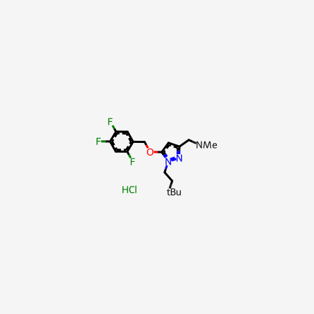 CNCc1cc(OCc2cc(F)c(F)cc2F)n(CCC(C)(C)C)n1.Cl